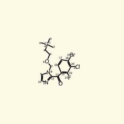 C[Si](C)(C)CCOCn1ccnc1C(=O)c1ccc(Br)c(Cl)c1F